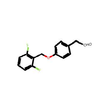 O=CCc1ccc(OCc2c(F)cccc2F)cc1